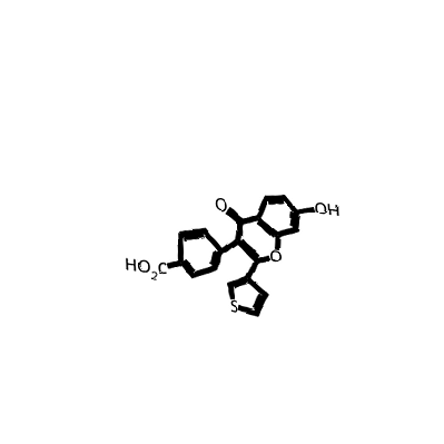 O=C(O)c1ccc(-c2c(-c3ccsc3)oc3cc(O)ccc3c2=O)cc1